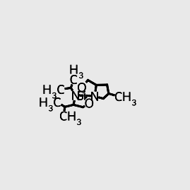 CC1CC2CO[Si]3(OCC(C(C)C)N3C(C)C)N2C1